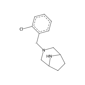 Clc1ccccc1[CH]N1CC2CCC(C1)N2